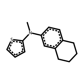 CN(c1ccc2c(c1)CCCC2)c1cccs1